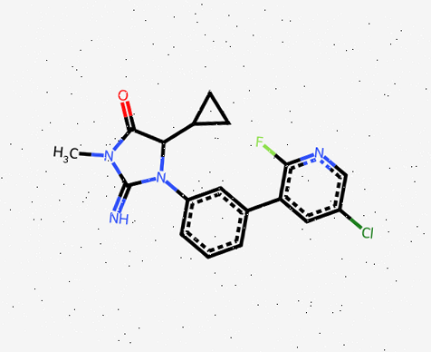 CN1C(=N)N(c2cccc(-c3cc(Cl)cnc3F)c2)C(C2CC2)C1=O